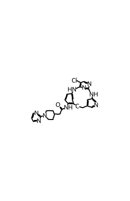 O=C(CC1CCN(c2ncccn2)CC1)Nc1ccc2cc1CCc1cncc(c1)Nc1ncc(Cl)c(n1)N2